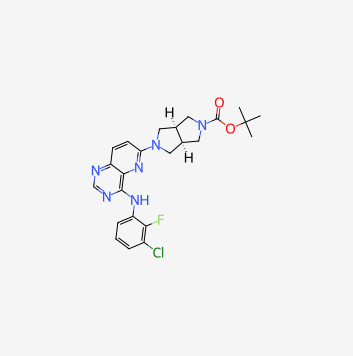 CC(C)(C)OC(=O)N1C[C@@H]2CN(c3ccc4ncnc(Nc5cccc(Cl)c5F)c4n3)C[C@@H]2C1